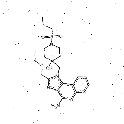 CCCS(=O)(=O)N1CCC(O)(Cn2c(COCC)nc3c(N)nc4ccccc4c32)CC1